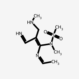 C/C=N\C(=C(/C=N)CNC)N(C)S(C)(=O)=O